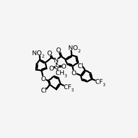 CS(=O)(=O)N(C(=O)c1cc(Oc2ccc(C(F)(F)F)cc2Cl)ccc1[N+](=O)[O-])C(=O)c1cc(Oc2ccc(C(F)(F)F)cc2Cl)ccc1[N+](=O)[O-]